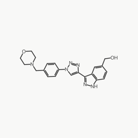 OCc1ccc2[nH]nc(-c3cn(-c4ccc(CN5CCOCC5)cc4)nn3)c2c1